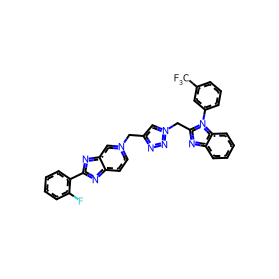 Fc1ccccc1-c1nc2ccn(Cc3cn(Cc4nc5ccccc5n4-c4cccc(C(F)(F)F)c4)nn3)cc-2n1